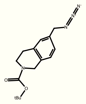 CC(C)(C)OC(=O)N1CCc2cc(CN=[N+]=[N-])ccc2C1